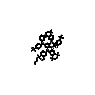 CCCCC(C)(C)c1ccc(N2c3cc4c(cc3B3c5oc6ccc(C(C)(C)C)cc6c5N(c5ccc6c(c5)C(C)(C)CCC6(C)C)c5cc(N(c6ccccc6)c6ccc([Si](C)(C)C)cc6)cc2c53)C(C)(C)CCC4(C)C)cc1CC